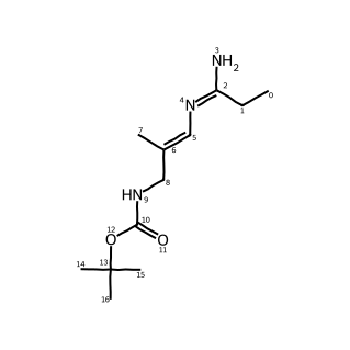 CC/C(N)=N\C=C(/C)CNC(=O)OC(C)(C)C